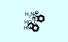 NS(=O)(=O)c1ccccc1C(=O)O.c1ccc2c(c1)CCN2